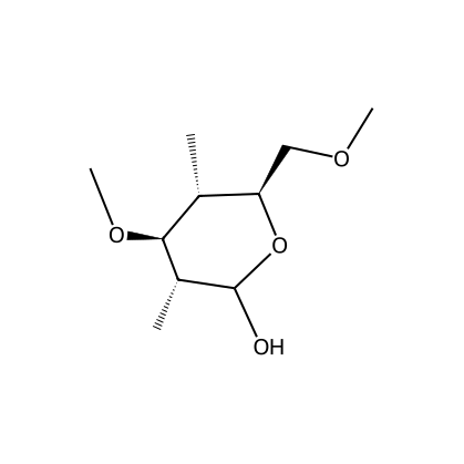 COC[C@H]1OC(O)[C@H](C)[C@@H](OC)[C@@H]1C